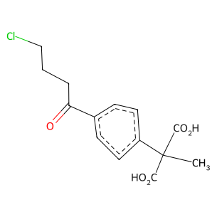 CC(C(=O)O)(C(=O)O)c1ccc(C(=O)CCCCl)cc1